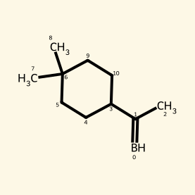 B=C(C)C1CCC(C)(C)CC1